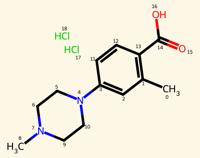 Cc1cc(N2CCN(C)CC2)ccc1C(=O)O.Cl.Cl